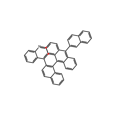 c1ccc2cc(-c3c4ccccc4c(-c4c(-c5ccnc6ccccc56)ccc5ccccc45)c4ccccc34)ccc2c1